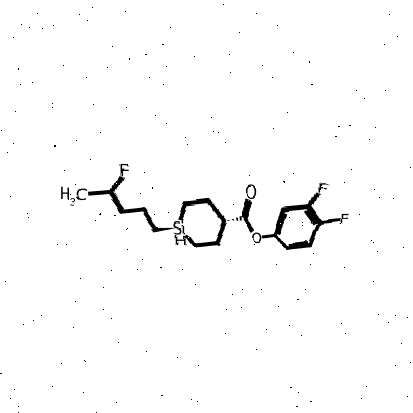 CC(F)CCC[Si@H]1CC[C@H](C(=O)Oc2ccc(F)c(F)c2)CC1